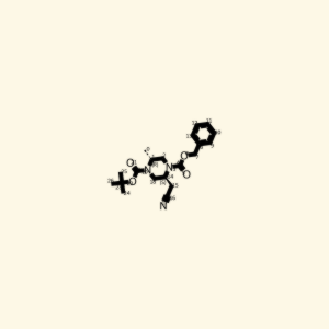 C[C@@H]1CN(C(=O)OCc2ccccc2)[C@@H](CC#N)CN1C(=O)OC(C)(C)C